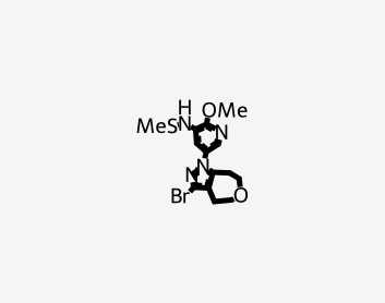 COc1ncc(-n2nc(Br)c3c2CCOCC3)cc1NSC